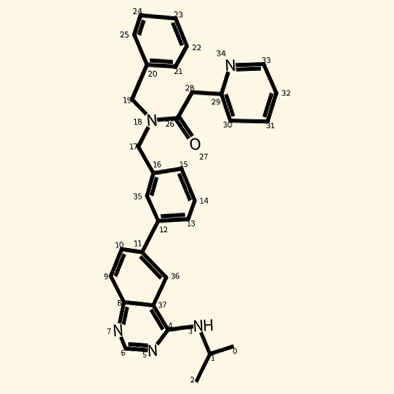 CC(C)Nc1ncnc2ccc(-c3cccc(CN(Cc4ccccc4)C(=O)Cc4ccccn4)c3)cc12